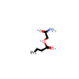 CC(C)CCC(=O)OCC(N)=O